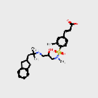 Cc1cc(C=CC(=O)O)ccc1S(=O)(=O)N(C)CC(O)CNC(C)(C)CC1Cc2ccccc2C1